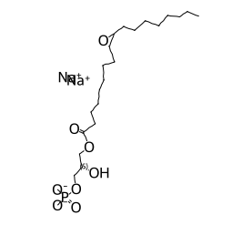 CCCCCCCCC1OC1CCCCCCCC(=O)OC[C@H](O)COP(=O)([O-])[O-].[Na+].[Na+]